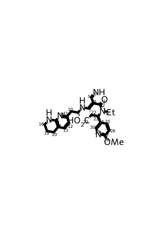 CCN(C(=O)/C(C=N)=C/NCCc1ccc2c(n1)NCCC2)C(CC(=O)O)c1ccc(OC)nc1